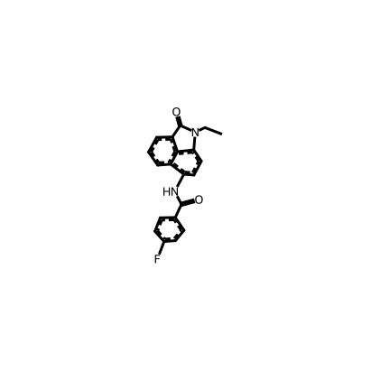 CCN1C(=O)c2cccc3c(NC(=O)c4ccc(F)cc4)ccc1c23